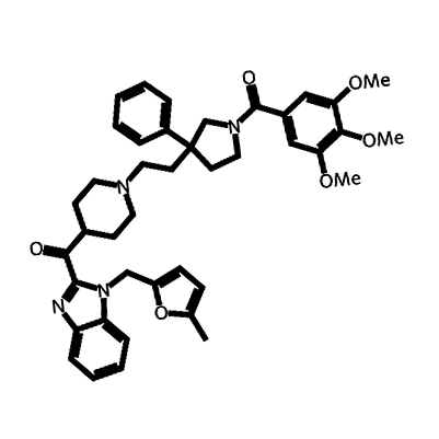 COc1cc(C(=O)N2CCC(CCN3CCC(C(=O)c4nc5ccccc5n4Cc4ccc(C)o4)CC3)(c3ccccc3)C2)cc(OC)c1OC